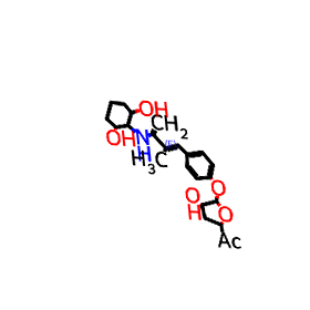 C=C(NC1C(O)CCCC1O)/C(C)=C/c1ccc(OC2OC(C(C)=O)CC2O)cc1